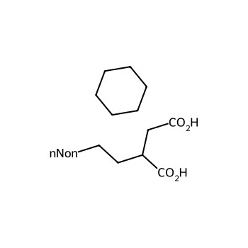 C1CCCCC1.CCCCCCCCCCCC(CC(=O)O)C(=O)O